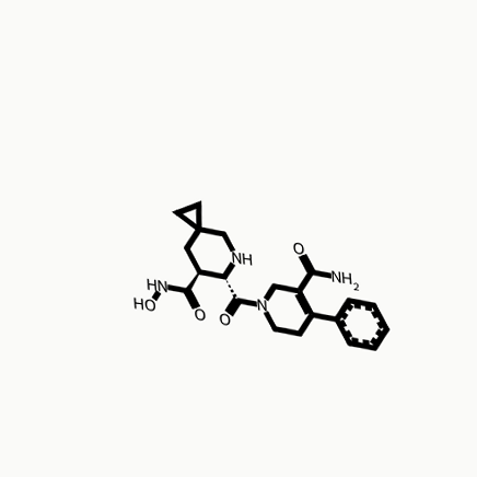 NC(=O)C1=C(c2ccccc2)CCN(C(=O)[C@H]2NCC3(CC3)C[C@@H]2C(=O)NO)C1